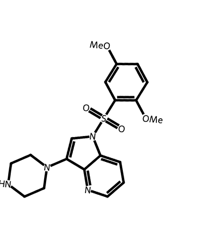 COc1ccc(OC)c(S(=O)(=O)n2cc(N3CCNCC3)c3ncccc32)c1